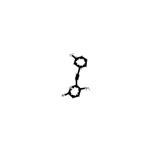 Nc1ccc(Br)nc1C#Cc1cccc(Cl)c1